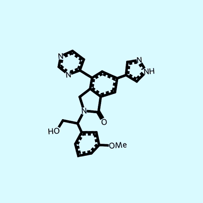 COc1cccc(C(CO)N2Cc3c(cc(-c4cn[nH]c4)cc3-c3ccncn3)C2=O)c1